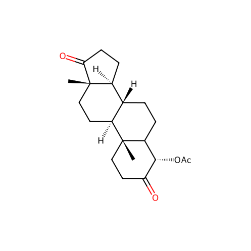 CC(=O)O[C@@H]1C(=O)CC[C@@]2(C)C1CC[C@@H]1[C@@H]2CC[C@]2(C)C(=O)CC[C@@H]12